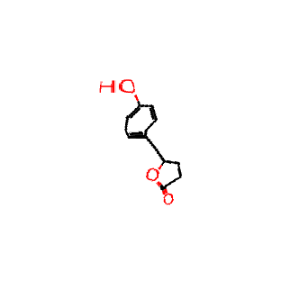 O=C1CCC(c2ccc(O)cc2)O1